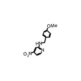 COc1ccc(CNc2cc([N+](=O)[O-])ccn2)cc1